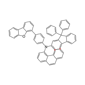 c1ccc(C2(c3ccccc3)c3ccccc3-c3ccc(N(c4ccc(-c5cccc6c5oc5ccccc56)cc4)c4cccc5ccc6ccccc6c45)cc32)cc1